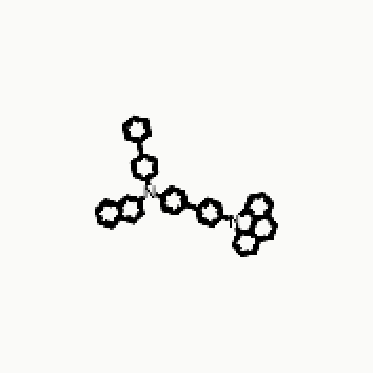 c1ccc(-c2ccc(N(c3ccc(-c4ccc(-n5c6cccc7ccc8cccc5c8c76)cc4)cc3)c3ccc4ccccc4c3)cc2)cc1